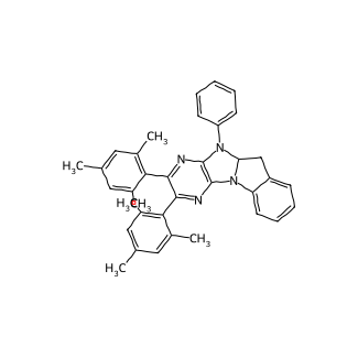 Cc1cc(C)c(-c2nc3c(nc2-c2c(C)cc(C)cc2C)N2c4ccccc4CC2N3c2ccccc2)c(C)c1